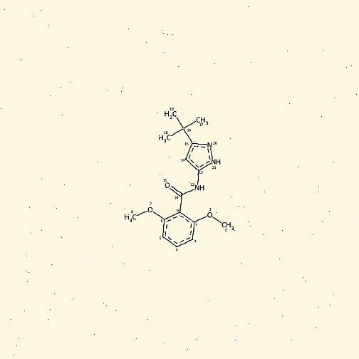 COc1cccc(OC)c1C(=O)Nc1cc(C(C)(C)C)n[nH]1